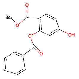 CCC(C)OC(=O)c1ccc(O)cc1OC(=O)c1ccccc1